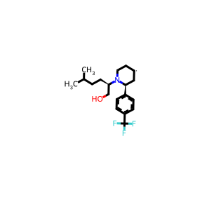 CC(C)CC[C@H](CO)N1CC[CH]C[C@H]1c1ccc(C(F)(F)F)cc1